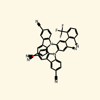 N#Cc1ccc2c(c1)c1cc(C#N)ccc1n2-c1cc(C#N)c(-c2c(C#N)cccc2C(F)(F)F)cc1-n1c2ccc(C#N)cc2c2cc(C#N)ccc21